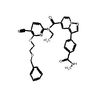 CCN(C(=O)c1ccn2ncc(-c3ccc(C(=O)NC)cc3)c2c1)c1ccc(C#N)c(OCCOCc2ccccc2)n1